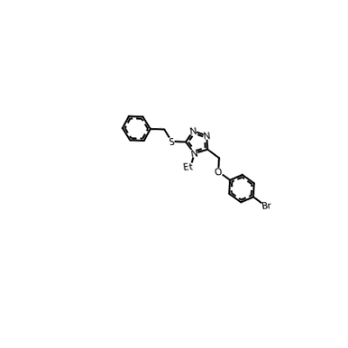 CCn1c(COc2ccc(Br)cc2)nnc1SCc1ccccc1